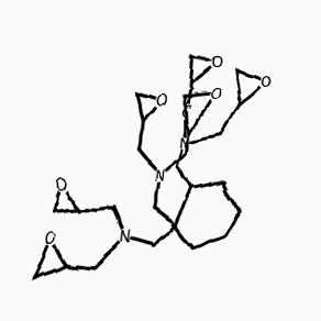 C1CCC(CN(CC2CO2)CC2CO2)(CN(CC2CO2)CC2CO2)C(CN(CC2CO2)CC2CO2)C1